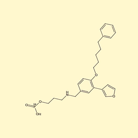 O=[PH](O)OCCCNCc1ccc(OCCCCCc2ccccc2)c(-c2ccoc2)c1